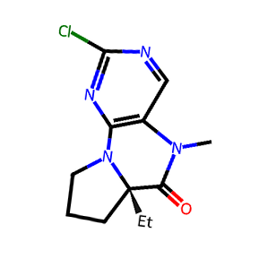 CC[C@@]12CCCN1c1nc(Cl)ncc1N(C)C2=O